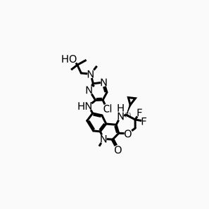 CN(CC(C)(C)O)c1ncc(Cl)c(Nc2ccc3c(c2)c2c(c(=O)n3C)OCC(F)(F)[C@H](C3CC3)N2)n1